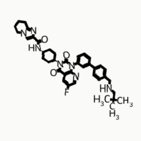 CC(C)(C)CNCc1ccc(-c2cccc(-n3c(=O)n([C@H]4CC[C@@H](NC(=O)c5cn6c(n5)CCCC6)CC4)c(=O)c4cc(F)cnc43)c2)cc1